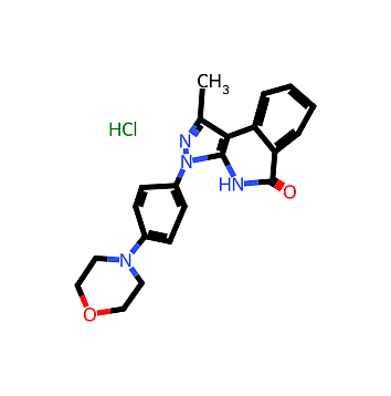 Cc1nn(-c2ccc(N3CCOCC3)cc2)c2[nH]c(=O)c3ccccc3c12.Cl